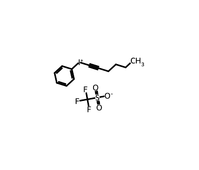 CCCCC#C[I+]c1ccccc1.O=S(=O)([O-])C(F)(F)F